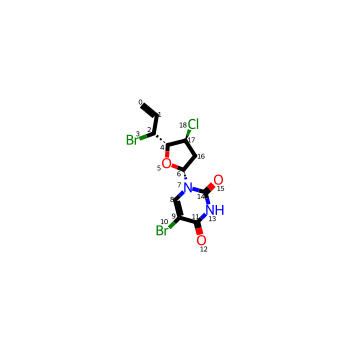 C=CC(Br)[C@H]1O[C@@H](n2cc(Br)c(=O)[nH]c2=O)C[C@@H]1Cl